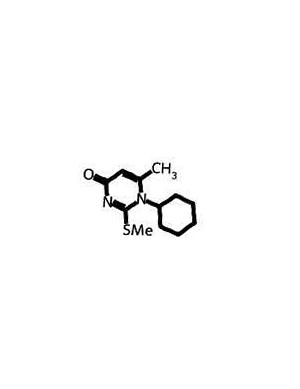 CSc1nc(=O)cc(C)n1C1CCCCC1